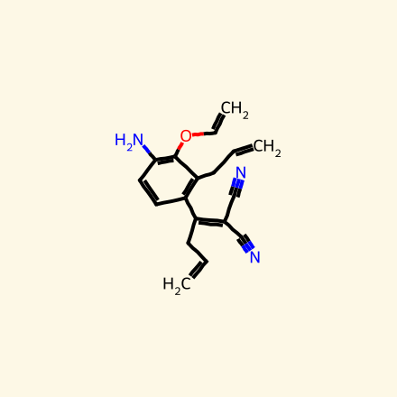 C=CCC(=C(C#N)C#N)c1ccc(N)c(OC=C)c1CC=C